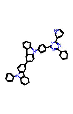 C1=Cc2c(c3cc(-c4ccc5c(c4)c4ccccc4n5-c4ccc(-c5nc(-c6ccccc6)nc(-c6cccnc6)n5)cc4)ccc3n2-c2ccccc2)CC1